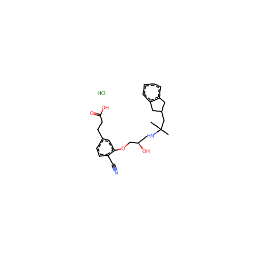 CC(C)(CC1Cc2ccccc2C1)NC[C@@H](O)COc1cc(CCC(=O)O)ccc1C#N.Cl